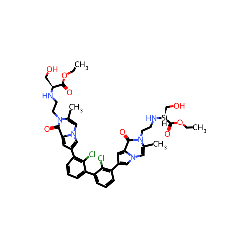 CCOC(=O)[C@H](CO)NCCn1c(C)cn2cc(-c3cccc(-c4cccc(-c5cc6c(=O)n(CCN[Si@@H](CO)C(=O)OCC)c(C)cn6c5)c4Cl)c3Cl)cc2c1=O